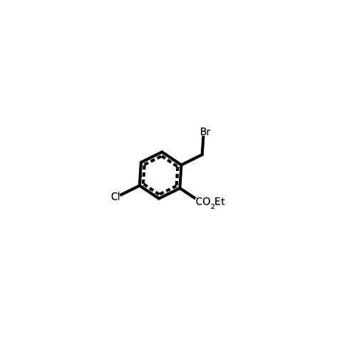 CCOC(=O)c1cc(Cl)ccc1CBr